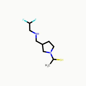 CC(S)N1CCC(CNCC(F)F)C1